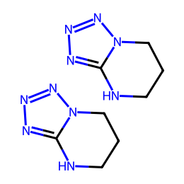 C1CNc2nnnn2C1.C1CNc2nnnn2C1